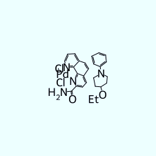 CCOC1CCN(c2ccccc2)CC1.NC(=O)c1ccc2ccc3cccnc3c2n1.[Cl][Pd][Cl]